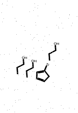 CCCO.CCCO.CCCO.[Zr][C]1=CC=CC1